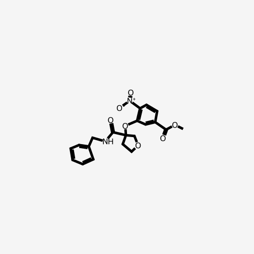 COC(=O)c1ccc([N+](=O)[O-])c(OC2(C(=O)NCc3ccccc3)CCOC2)c1